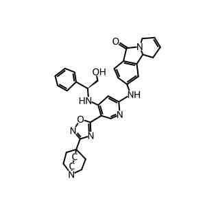 O=C1c2ccc(Nc3cc(N[C@H](CO)c4ccccc4)c(-c4nc(C56CCN(CC5)CC6)no4)cn3)cc2C2CC=CCN12